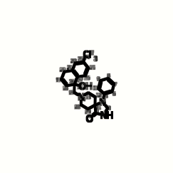 O=C1NCN(c2ccccc2)C12CCN(CC1(O)C=CCc3cc(C(F)(F)F)ccc31)CC2